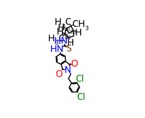 C[C@H]1[C@@H](NC(=S)Nc2ccc3c(c2)C(=O)N(CCc2ccc(Cl)cc2Cl)C3=O)C[C@@H]2C[C@@H]1C2(C)C